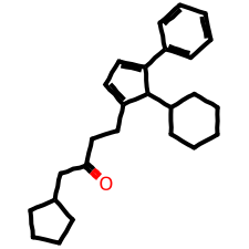 O=C(CCC1=CC=C(c2ccccc2)C1C1CCCCC1)CC1CCCC1